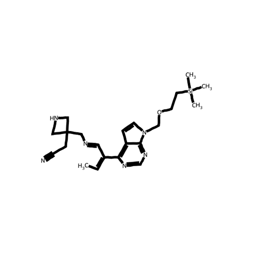 C/C=C(\C=NCC1(CC#N)CNC1)c1ncnc2c1ccn2COCC[Si](C)(C)C